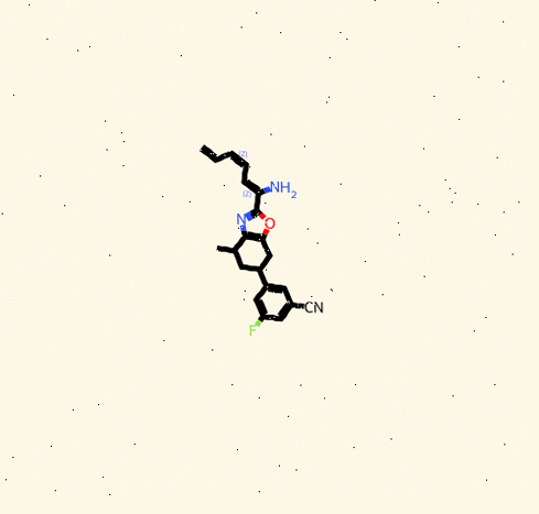 C=C/C=C\C=C(/N)c1nc2c(o1)CC(c1cc(F)cc(C#N)c1)CC2C